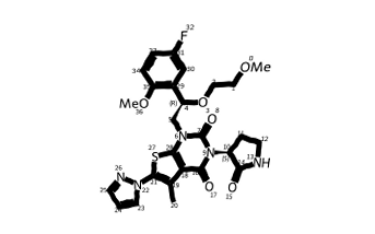 COCCO[C@@H](Cn1c(=O)n([C@H]2CCNC2=O)c(=O)c2c(C)c(-n3cccn3)sc21)c1cc(F)ccc1OC